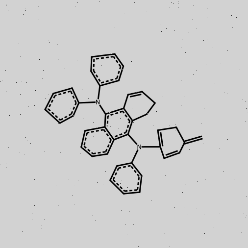 C=C1C=CC(N(c2ccccc2)c2c3c(c(N(c4ccccc4)c4ccccc4)c4ccccc24)C=CCC3)=CC1